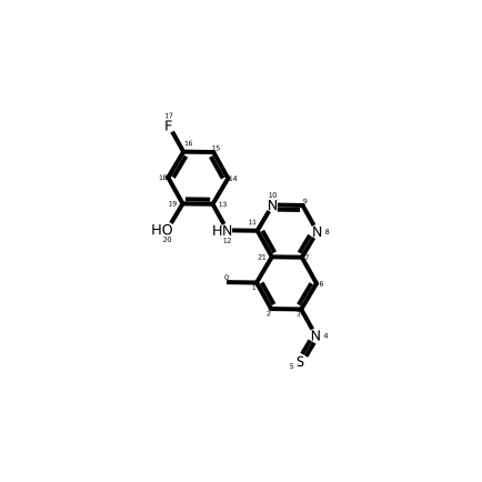 Cc1cc(N=S)cc2ncnc(Nc3ccc(F)cc3O)c12